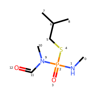 CNP(=O)(SCC(C)C)N(C)C=O